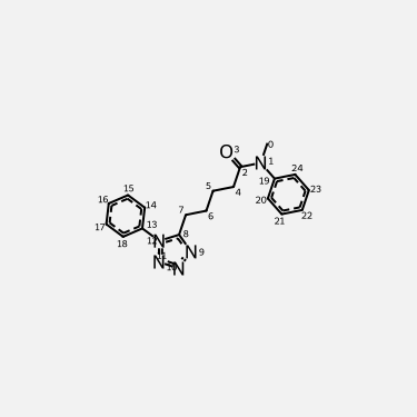 CN(C(=O)CCCCc1nnnn1-c1ccccc1)c1ccccc1